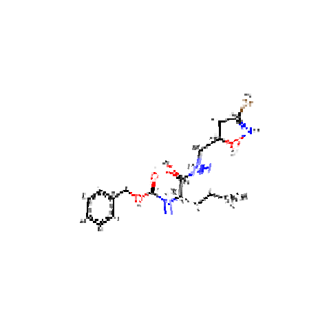 CSCC[C@H](NC(=O)OCc1ccccc1)C(=O)NCC1CC(Br)=NO1